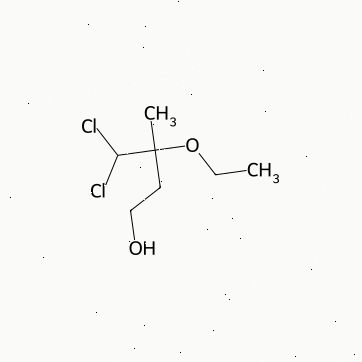 CCOC(C)(CCO)C(Cl)Cl